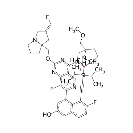 COCC12CCC(CN(c3nc(OCC45CCCN4C/C(=C\F)C5)nc4c(F)c(-c5cc(O)cc6ccc(F)c(C#C[Si](C(C)C)(C(C)C)C(C)C)c56)ncc34)C1)N2